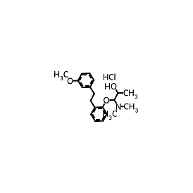 COc1cccc(CCc2ccccc2OC(C(C)O)N(C)C)c1.Cl